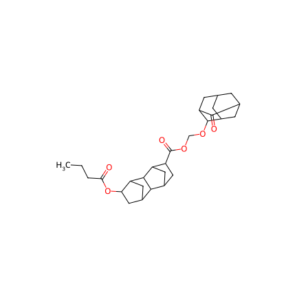 CCCC(=O)OC1CC2CC1C1C3CC(CC3C(=O)OCOC3C4CC5CC(C4)C(=O)C3C5)C21